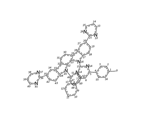 Cc1ccc(-c2cc(-c3ccccc3)nc(-n3c4ccc(-c5ncccn5)cc4c4ccc5c6cc(-c7ncccn7)ccc6n(-c6ccccc6)c5c43)n2)cc1